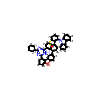 c1ccc(C2=NC(c3ccccc3)NC(c3cccc4oc5ccc(-c6ccc7c(c6)sc6cccc(-n8c9ccccc9c9ccccc98)c67)cc5c34)=N2)cc1